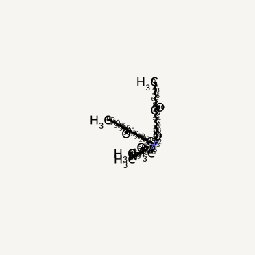 CCCCCCCCCC(=O)OCCCCCCCCOC/C=C\C(OCCCCCCCCC(=O)CCCCCCCC)=C(/CC)COC(=O)CCCN(C)C